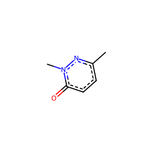 Cc1ccc(=O)n(C)n1